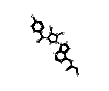 O=C(CCl)Nc1ncnc2c1cnn2[C@@H]1O[C@H](C(O)c2ccc(Cl)cc2)[C@@H](O)[C@H]1O